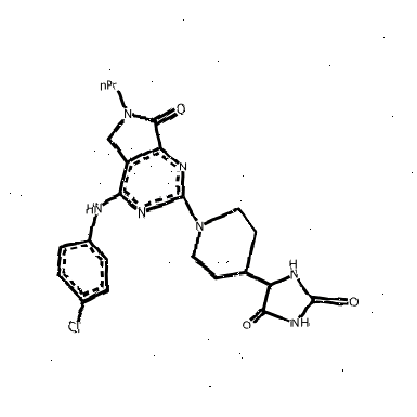 CCCN1Cc2c(Nc3ccc(Cl)cc3)nc(N3CCC(C4NC(=O)NC4=O)CC3)nc2C1=O